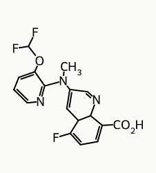 CN(C1=CC2C(F)=CC=C(C(=O)O)C2N=C1)c1ncccc1OC(F)F